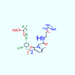 Cc1ccc(NS(=O)(=O)Cc2ccc(Cl)cc2Cl)c(=O)n1CC(=O)NCCONC(=N)N.O=C(O)C(F)(F)F